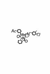 CC(=O)c1cccc(NC(=O)C2c3ccccc3C(=O)N2C2CCN(Cc3ccc(Cl)c(C)c3)CC2)c1